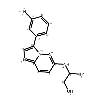 CC(C)C(CO)Nc1ccc2ncc(-c3cccc(N)c3)n2n1